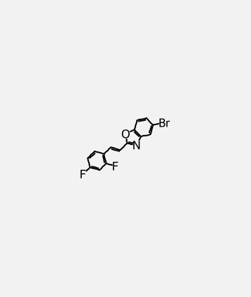 Fc1ccc(C=Cc2nc3cc(Br)ccc3o2)c(F)c1